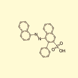 O=S(=O)(O)c1cc2ccccc2c(N=Nc2cccc3ccccc23)c1-c1ccccc1